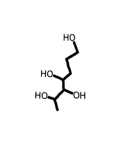 CC(O)C(O)C(O)CCCO